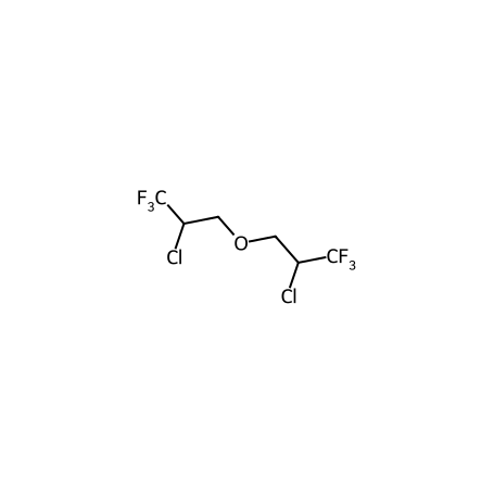 FC(F)(F)C(Cl)COCC(Cl)C(F)(F)F